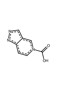 O=C(O)n1ccc2nncc-2c1